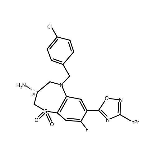 CCCc1noc(-c2cc3c(cc2F)S(=O)(=O)C[C@H](N)CN3Cc2ccc(Cl)cc2)n1